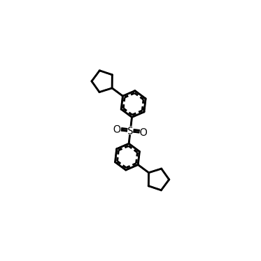 O=S(=O)(c1cccc(C2CCCC2)c1)c1cccc(C2CCCC2)c1